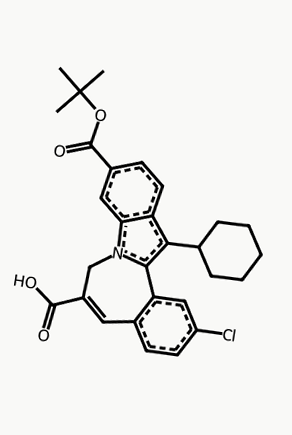 CC(C)(C)OC(=O)c1ccc2c(C3CCCCC3)c3n(c2c1)CC(C(=O)O)=Cc1ccc(Cl)cc1-3